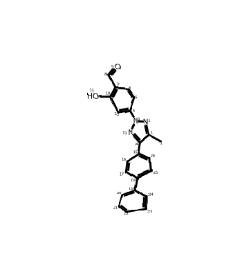 Cc1nn(-c2ccc(C=O)c(O)c2)nc1-c1ccc(-c2ccccc2)cc1